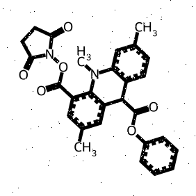 Cc1cc(C(=O)ON2C(=O)CCC2=O)c2c(c1)C(C(=O)Oc1ccccc1)c1ccc(C)cc1N2C